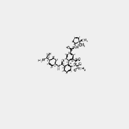 CC1(C)CCC[C@@H]1NC(=O)c1ccc(-c2ccccc2C(=O)Nc2ccc(C(=N)N)cc2)c(C(=O)OS(C)(=O)=O)c1